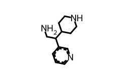 NCC(c1cccnc1)C1CCNCC1